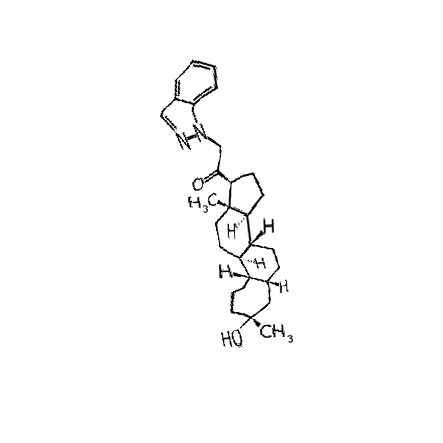 C[C@@]1(O)CC[C@H]2[C@H](CC[C@@H]3[C@@H]2CC[C@]2(C)[C@@H](C(=O)Cn4ncc5ccccc54)CC[C@@H]32)C1